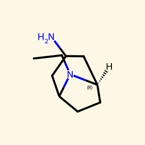 CCN1C2CC[C@@H]1CC(N)C2